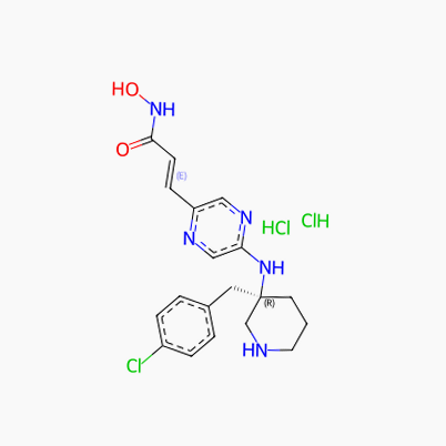 Cl.Cl.O=C(/C=C/c1cnc(N[C@@]2(Cc3ccc(Cl)cc3)CCCNC2)cn1)NO